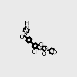 O=C(c1ccc(-c2cc(Cl)c(C[C@@H]3CCN(C4CCOCC4)C3=O)c(Cl)c2)cc1)N1CCNCC1